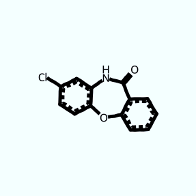 O=C1Nc2cc(Cl)ccc2Oc2ccccc21